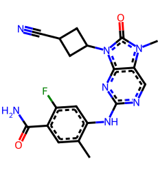 Cc1cc(C(N)=O)c(F)cc1Nc1ncc2c(n1)n(C1CC(C#N)C1)c(=O)n2C